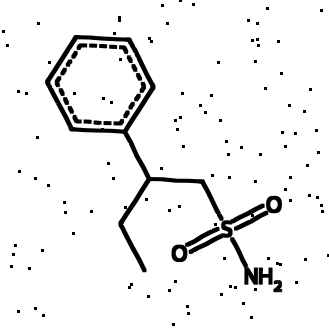 CCC(CS(N)(=O)=O)c1ccccc1